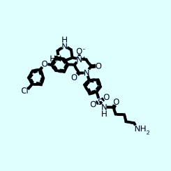 NCCCCC(=O)NS(=O)(=O)c1ccc(N2C(=O)C[N+]([O-])(C3CNCNC3)C(c3ccc(Oc4ccc(Cl)cc4)cc3)C2=O)cc1